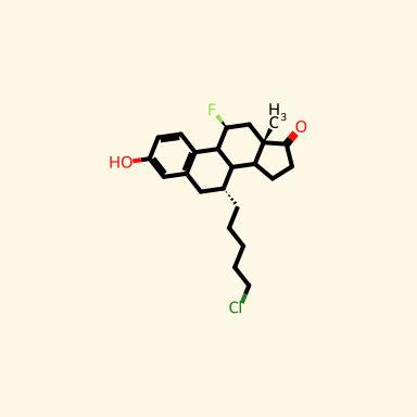 C[C@]12C[C@H](F)C3c4ccc(O)cc4C[C@@H](CCCCCCl)C3C1CCC2=O